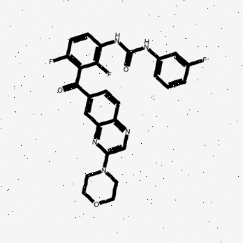 O=C(Nc1cccc(F)c1)Nc1ccc(F)c(C(=O)c2ccc3ncc(N4CCOCC4)nc3c2)c1F